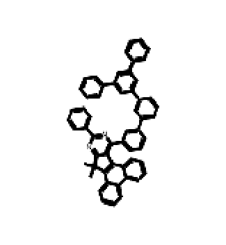 CC1(C)c2nc(-c3ccccc3)nc(-c3cccc(-c4cccc(-c5cc(-c6ccccc6)cc(-c6ccccc6)c5)c4)c3)c2-c2c1c1ccccc1c1ccccc21